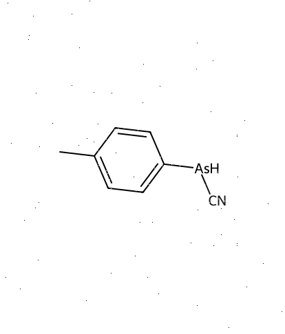 Cc1ccc([AsH]C#N)cc1